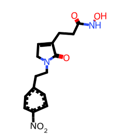 O=C(CCC1=CCN(CCc2ccc([N+](=O)[O-])cc2)C1=O)NO